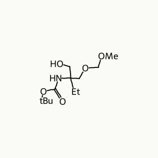 CCC(CO)(COCOC)NC(=O)OC(C)(C)C